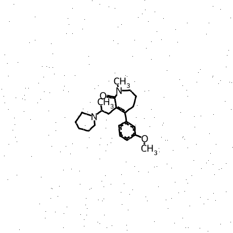 COc1cccc(C2=C(CC(C)N3CCCCC3)C(=O)N(C)CCC2)c1